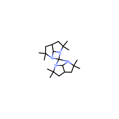 CC1(C)CC2CC(C)(C)N3C2N1C31N2C3C(CC2(C)C)CC(C)(C)N31